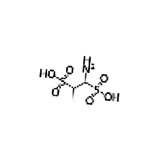 CC(C(N)S(=O)(=O)O)S(=O)(=O)O